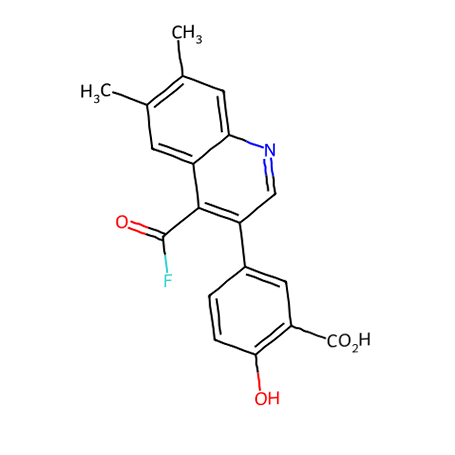 Cc1cc2ncc(-c3ccc(O)c(C(=O)O)c3)c(C(=O)F)c2cc1C